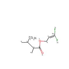 CC(C(=O)O)C(C)C(=O)OCC=C(F)F